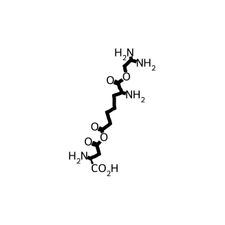 NC(N)COC(=O)C(N)CCCCC(=O)OC(=O)C[C@H](N)C(=O)O